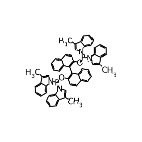 Cc1cn(P(Oc2ccc3ccccc3c2-c2c(OP(n3cc(C)c4ccccc43)n3cc(C)c4ccccc43)ccc3ccccc23)n2cc(C)c3ccccc32)c2ccccc12